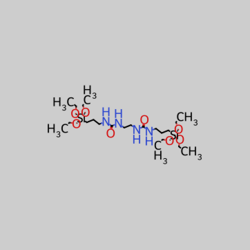 CCO[Si](CCCNC(=O)NCCNC(=O)NCCC[Si](OCC)(OCC)OCC)(OCC)OCC